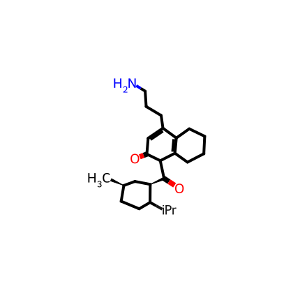 CC(C)C1CC[C@@H](C)C[C@H]1C(=O)C1C(=O)C=C(CCCN)C2=C1CCCC2